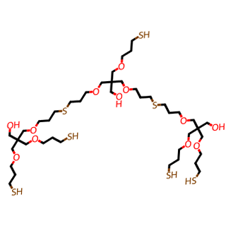 OCC(COCCCS)(COCCCS)COCCCSCCCOCC(CO)(COCCCS)COCCCSCCCOCC(CO)(COCCCS)COCCCS